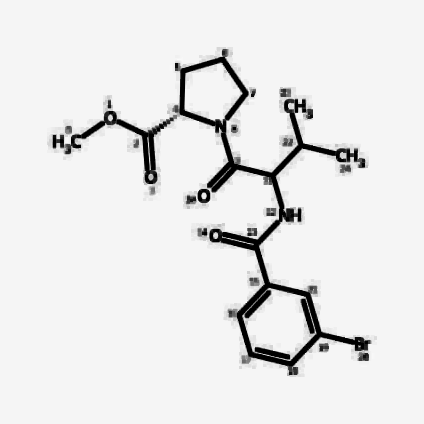 COC(=O)[C@@H]1CCCN1C(=O)C(NC(=O)c1cccc(Br)c1)C(C)C